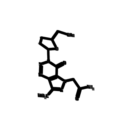 CCOC(=O)c1nn(CC(N)=O)c2c(=O)n(C3[CH][CH]C(COC(C)=O)O3)nnc12